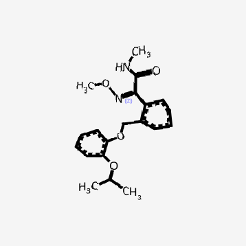 CNC(=O)/C(=N\OC)c1ccccc1COc1ccccc1OC(C)C